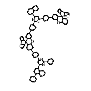 c1ccc(-c2nc(-c3ccc(-c4ccc5c(c4)Oc4cc(-c6ccc(-c7nc(-c8ccc(-c9ccc%10c(c9)Oc9ccccc9C%109c%10ccccc%10-c%10ccccc%109)cc8)cc(-c8cccc9ccccc89)n7)cc6)ccc4C54c5ccccc5-c5ccccc54)cc3)cc(-c3ccc(-c4ccccc4)c4ccccc34)n2)cc1